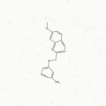 COc1ccc2ccc(COc3cccc(N)c3)nc2c1